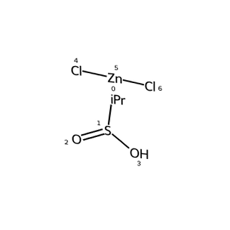 CC(C)S(=O)O.[Cl][Zn][Cl]